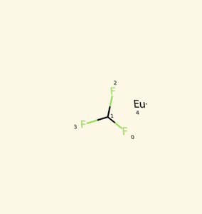 FC(F)F.[Eu]